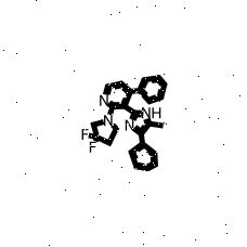 Cc1[nH]c(-c2c(-c3ccccc3)ccnc2N2CCC(F)(F)C2)nc1-c1ccccc1